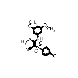 COc1cc(NC(SC)=C(C#N)S(=O)(=O)c2ccc(Cl)cc2)cc(OC)c1